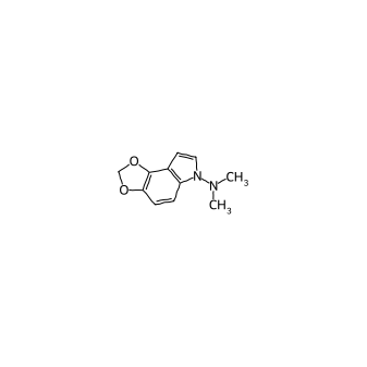 CN(C)n1ccc2c3c(ccc21)OCO3